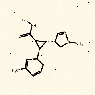 CC1=CC([C@H]2[C@@H](C(=O)NO)[C@@H]2C2C=NN(C)C2)CC=C1